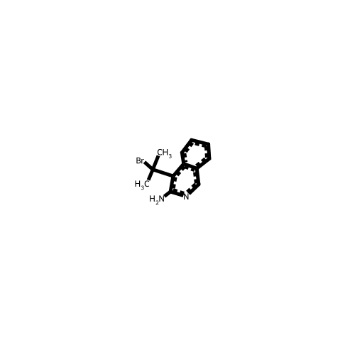 CC(C)(Br)c1c(N)ncc2ccccc12